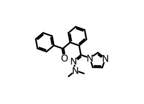 CN(C)N=C(c1ccccc1C(=O)c1ccccc1)n1ccnc1